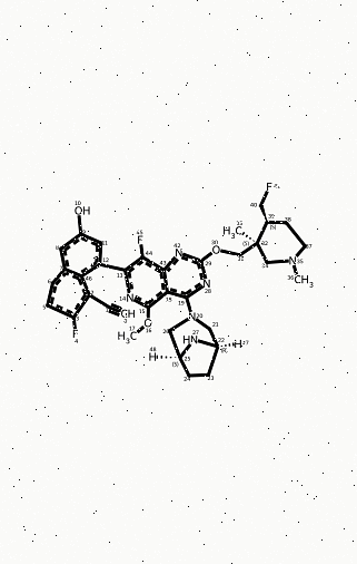 C#Cc1c(F)ccc2cc(O)cc(-c3nc(OC)c4c(N5C[C@H]6CC[C@@H](C5)N6)nc(OC[C@]5(C)CN(C)CC[C@@H]5CF)nc4c3F)c12